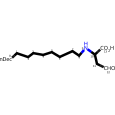 CCCCCCCCCCCCCCCCCCNC(CC=O)C(=O)O